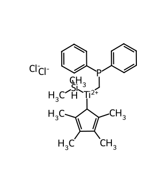 CC1=C(C)[CH]([Ti+2]([CH2]P(c2ccccc2)c2ccccc2)[SiH](C)C)C(C)=C1C.[Cl-].[Cl-]